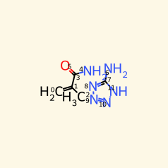 C=C(C)C(N)=O.Nc1nnn[nH]1